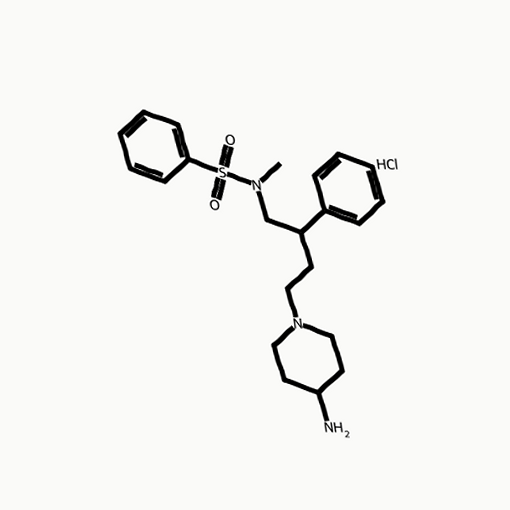 CN(CC(CCN1CCC(N)CC1)c1ccccc1)S(=O)(=O)c1ccccc1.Cl